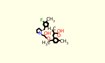 CCC(=Cc1cc(C)ccc1[C@@H](C)OC[C@H](O)CN1CCC[C@H]1Cc1ccc(C)c(F)c1)C(=O)O